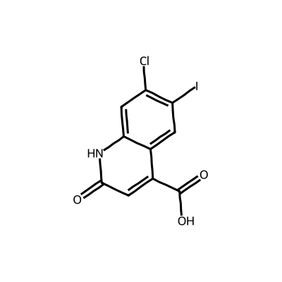 O=C(O)c1cc(=O)[nH]c2cc(Cl)c(I)cc12